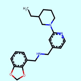 CCC1CCCN(c2cc(CNCc3cccc4c3OCO4)ccn2)C1